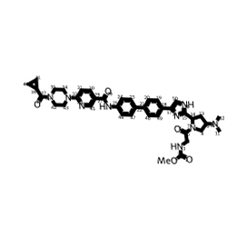 COC(=O)NCC(=O)N1CC(N(C)C)CC1c1nc(-c2ccc(-c3ccc(NC(=O)c4ccc(N5CCN(C(=O)C6CC6)CC5)nc4)cc3)cc2)c[nH]1